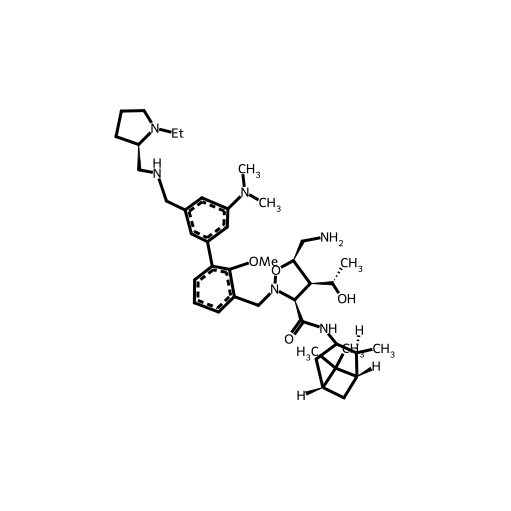 CCN1CCC[C@@H]1CNCc1cc(-c2cccc(CN3O[C@@H](CN)[C@@H]([C@H](C)O)[C@H]3C(=O)NC3C[C@H]4C[C@@H]([C@@H]3C)C4(C)C)c2OC)cc(N(C)C)c1